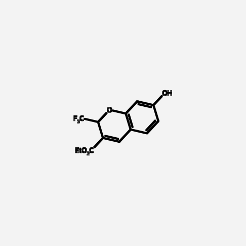 CCOC(=O)C1=Cc2ccc(O)cc2OC1C(F)(F)F